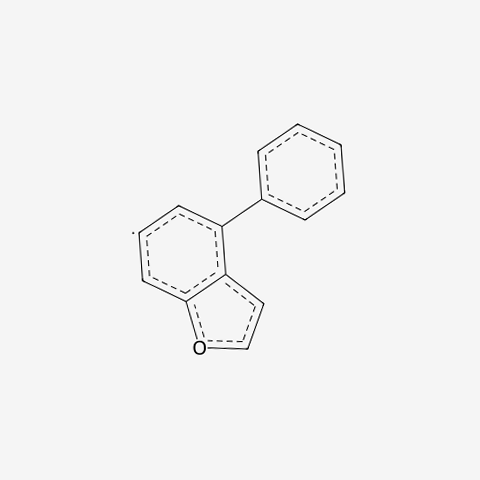 [c]1cc(-c2ccccc2)c2ccoc2c1